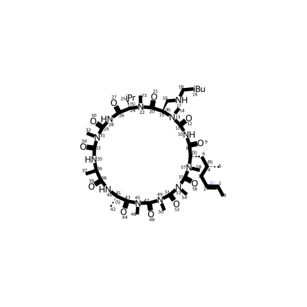 C/C=C/C[C@@H](C)C[C@H]1C(=O)NC(=O)N(C)[C@H](CNCC(C)CC)C(=O)N(C)[C@@H](C(C)C)C(=O)NC(=O)N(C)C(=O)NC(C)C(=O)N[C@@H](C)C(=O)N(C)C(=O)N(C)C(=O)N(C)C(=O)N1C